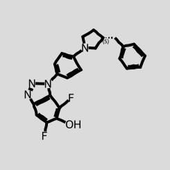 Oc1c(F)cc2nnn(-c3ccc(N4CC[C@H](Cc5ccccc5)C4)cc3)c2c1F